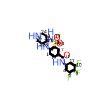 O=C(Nc1cc(F)c(F)c(F)c1)c1ccc2c(c1)S(=O)(=O)NC1(CCNCC1)N2